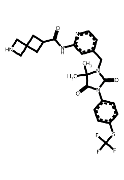 CC1(C)C(=O)N(c2ccc(SC(F)(F)F)cc2)C(=O)N1Cc1ccnc(NC(=O)C2CC3(CNC3)C2)c1